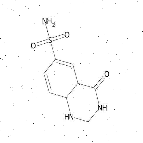 NS(=O)(=O)C1=CC2C(=O)NCNC2C=C1